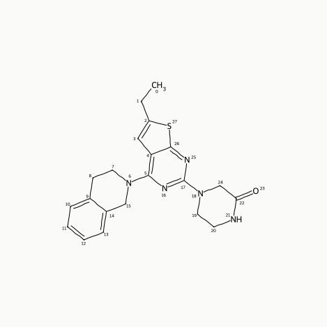 CCc1cc2c(N3CCc4ccccc4C3)nc(N3CCNC(=O)C3)nc2s1